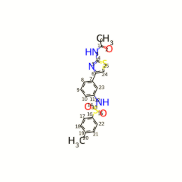 CC(=O)Nc1nc(-c2cccc(NS(=O)(=O)c3ccc(C)cc3)c2)cs1